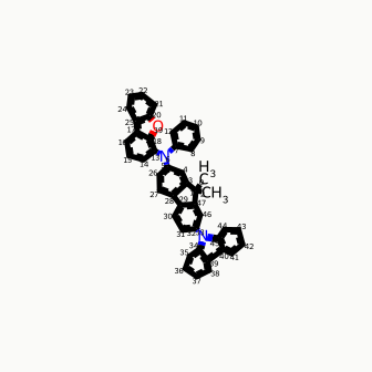 CC1(C)c2cc(N(c3ccccc3)c3cccc4c3oc3ccccc34)ccc2-c2ccc(-n3c4ccccc4c4ccccc43)cc21